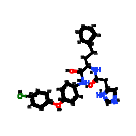 O=C(Cc1cnc[nH]1)NC(CCc1ccccc1)C(=O)Nc1ccc(Oc2ccc(Cl)cc2)cc1